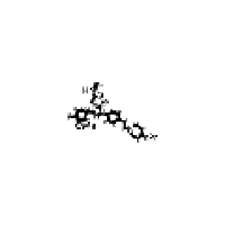 CCCC1CCN(CCc2ccc(-n3nc(-c4ccc(F)c(OC)c4)n(CC(=O)NC(C)C)c3=O)cc2)CC1